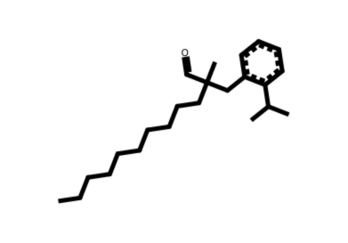 CCCCCCCCCCC(C)(C=O)Cc1ccccc1C(C)C